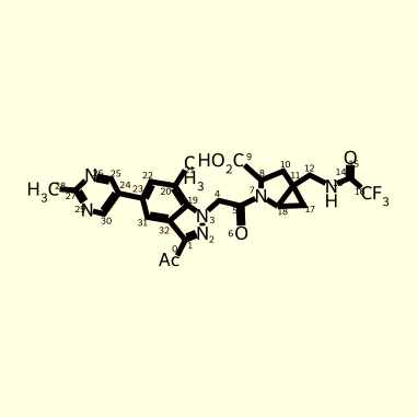 CC(=O)c1nn(CC(=O)N2C(C(=O)O)CC3(CNC(=O)C(F)(F)F)CC23)c2c(C)cc(-c3cnc(C)nc3)cc12